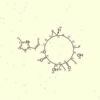 C/C(=C\c1csc(C)n1)[C@@H]1CC2C[C@@H]2CCCC(C)[C@H](O)C(C)C(=O)C(C)(C)C(O)CC(=O)O1